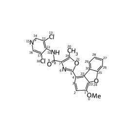 COc1ccc(-c2nc(C(=O)Nc3c(Cl)cncc3Cl)c(C)o2)c2c1oc1ccccc12